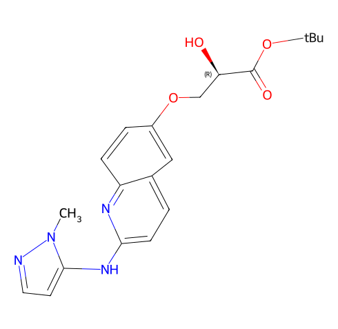 Cn1nccc1Nc1ccc2cc(OC[C@@H](O)C(=O)OC(C)(C)C)ccc2n1